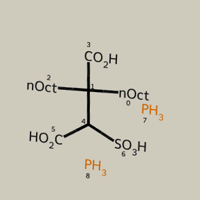 CCCCCCCCC(CCCCCCCC)(C(=O)O)C(C(=O)O)S(=O)(=O)O.P.P